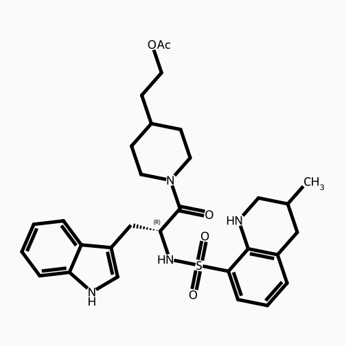 CC(=O)OCCC1CCN(C(=O)[C@@H](Cc2c[nH]c3ccccc23)NS(=O)(=O)c2cccc3c2NCC(C)C3)CC1